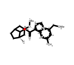 CCCCOC1CC2CC[C@H](C1)C2NC(=O)c1ncn2c(COC)cc(C)nc12